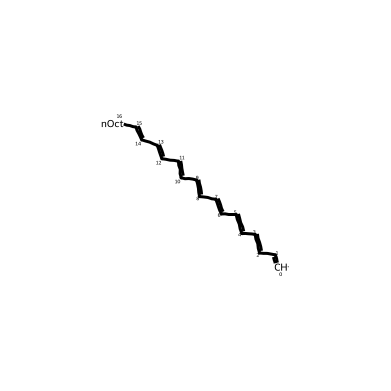 [CH]=C/C=C/C=C/C=C/C=C/C=C/C=C/C=C/CCCCCCCC